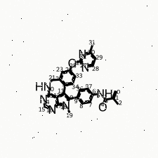 C=C(C)C(=O)Nc1ccc(-c2c3c4c(ncnc4n2C)NCc2cc(Oc4nccc(C)n4)ccc2-3)cc1